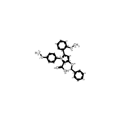 COc1ccc(-n2c(-c3ccccc3OC)cc(OCc3ccccc3)c2C(=O)O)cc1